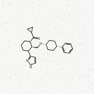 O=C(C1CC1)N1CCCC(c2cc[nH]n2)[C@@H]1CO[C@H]1CC[C@@H](c2ccccc2)CC1